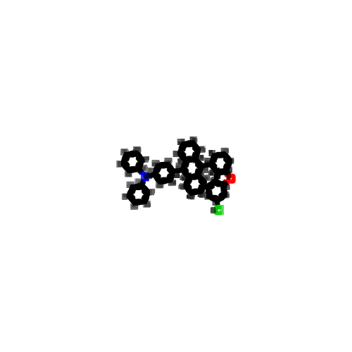 Clc1ccc2c(c1)oc1cccc(-c3c4ccccc4c(-c4ccc(N(c5ccccc5)c5ccccc5)cc4)c4ccccc34)c12